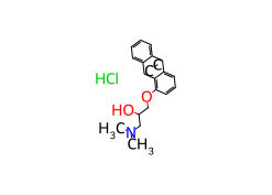 CN(C)CC(O)COc1cccc2c1C1CCC2c2ccccc21.Cl